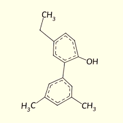 CCc1ccc(O)c(-c2cc(C)cc(C)c2)c1